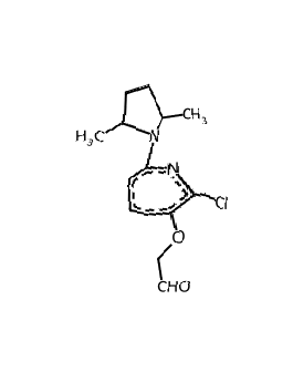 CC1CCC(C)N1c1ccc(OCC=O)c(Cl)n1